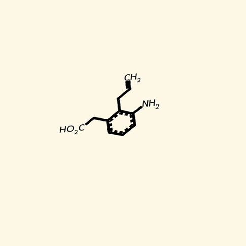 C=CCc1c(N)cccc1CC(=O)O